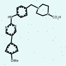 COc1ccc(-c2cnc(Nc3ccc(CN4CCN(C(=O)O)CC4)cc3)nc2)cc1